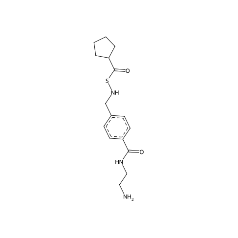 NCCNC(=O)c1ccc(CNSC(=O)C2CCCC2)cc1